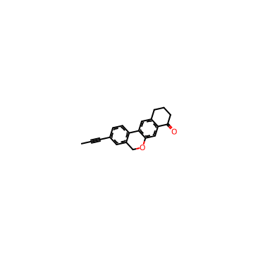 CC#Cc1ccc2c(c1)COc1cc3c(cc1-2)CCCC3=O